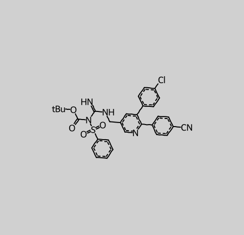 CC(C)(C)OC(=O)N(C(=N)NCc1cnc(-c2ccc(C#N)cc2)c(-c2ccc(Cl)cc2)c1)S(=O)(=O)c1ccccc1